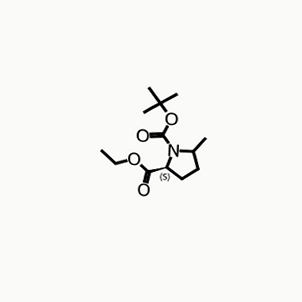 CCOC(=O)[C@@H]1CCC(C)N1C(=O)OC(C)(C)C